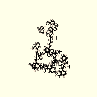 Cc1c(-c2ccc(N3CCc4cccc(C(=O)Nc5nc6ccccc6s5)c4C3)nc2C(=O)O)cnn1CC1(C)CC2(C)CC(C)CC(OCCN(CCC(O)CO)C(=O)OCc3ccc(CCCCNC(=O)CN4C(=O)[C@@H](N5C(=O)C=CC5=O)C[C@H]4COCC[S+](C)[O-])cc3O[C@@H]3OC(C(=O)O)C[C@H](O)[C@H]3O)(C2)C1